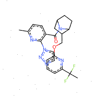 Cc1ccc(C(=O)N2C3CCC2C(COc2cccc(C(C)(F)F)n2)C3)c(-n2ccnn2)n1